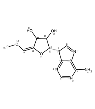 Nc1ncnc2c1ncn2[C@@H]1OC(=COF)C(O)C1O